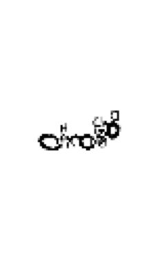 O=C(CC1CCCN(S(=O)(=O)c2cccc(Cl)c2Cl)C1)NN1CCCCCC1